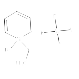 CC[N+]1(Br)C=CC=CC1.F[B-](F)(F)F